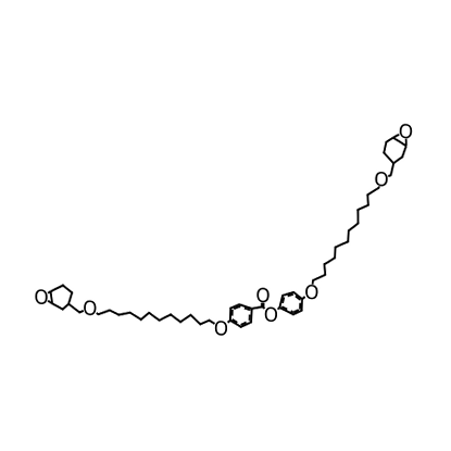 O=C(Oc1ccc(OCCCCCCCCCCCCOCC2CCC3OC3C2)cc1)c1ccc(OCCCCCCCCCCCCOCC2CCC3OC3C2)cc1